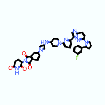 O=C1CCC(N2C(=O)c3ccc(N4CC(NC5CCN(c6cccc(-c7cnc8ccc(N9CCCC9c9cccc(F)c9)nn78)n6)CC5)C4)cc3C2=O)C(=O)N1